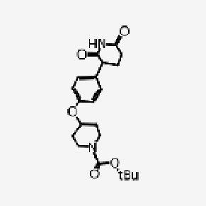 CC(C)(C)OC(=O)N1CCC(Oc2ccc(C3CCC(=O)NC3=O)cc2)CC1